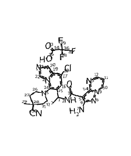 CC(NC(=O)c1c(N)nn2cccnc12)c1cc(Cl)c2cncn2c1N1CCC(C)(C#N)CC1.O=C(O)C(F)(F)F